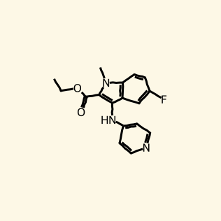 CCOC(=O)c1c(Nc2ccncc2)c2cc(F)ccc2n1C